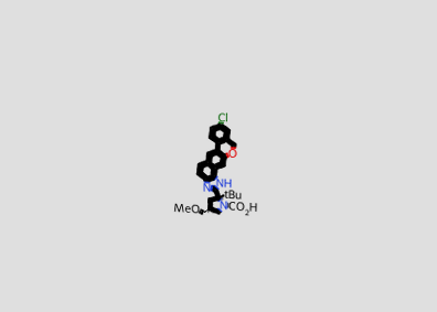 COC[C@H]1CN(C(=O)O)[C@](c2nc3ccc4cc5c(cc4c3[nH]2)OCc2cc(Cl)ccc2-5)(C(C)(C)C)C1